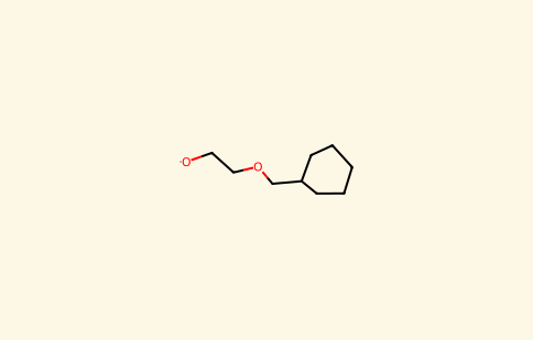 [O]CCOCC1CCCCC1